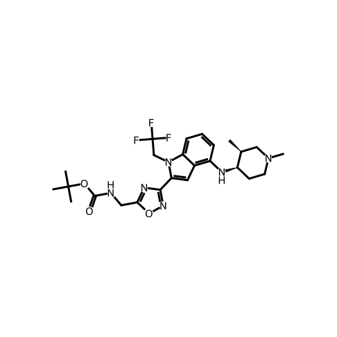 C[C@H]1CN(C)CC[C@H]1Nc1cccc2c1cc(-c1noc(CNC(=O)OC(C)(C)C)n1)n2CC(F)(F)F